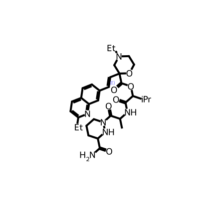 CCc1ccc2ccc(/C=C/C3(C(=O)OC(C(=O)NC(C)C(=O)N4CCCC(C(N)=O)N4)C(C)C)CN(CC)CCO3)cc2n1